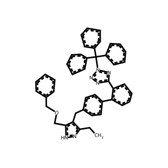 CCc1n[nH]c(COCc2ccccc2)c1Cc1ccc(-c2ccccc2-c2nnn(C(c3ccccc3)(c3ccccc3)c3ccccc3)n2)cc1